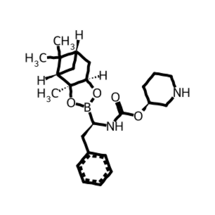 CC1(C)[C@@H]2C[C@H]3OB([C@H](Cc4ccccc4)NC(=O)O[C@H]4CCCNC4)O[C@@]3(C)[C@H]1C2